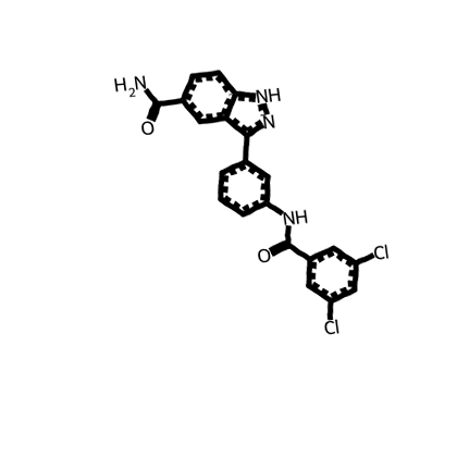 NC(=O)c1ccc2[nH]nc(-c3cccc(NC(=O)c4cc(Cl)cc(Cl)c4)c3)c2c1